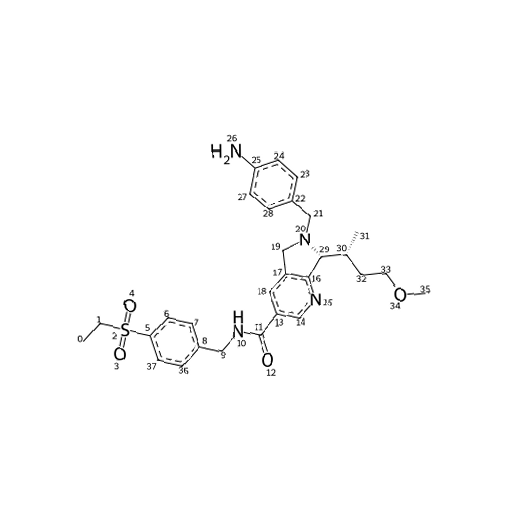 CCS(=O)(=O)c1ccc(CNC(=O)c2cnc3c(c2)CN(Cc2ccc(N)cc2)[C@@H]3[C@H](C)CCOC)cc1